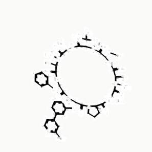 CC[C@H](C)[C@@H]1NC(=O)[C@@H]2CCCN2C(=O)[C@H](Cc2cccc(-c3ccnc(C(C)C)c3)c2)N(C)C(=O)[C@H](Cc2ccccc2)NC(=O)C(C(C)C)N(C)C(=O)[C@@H]([C@@H](C)CC)OC(=O)[C@H](C(C)(C)O)N(C)C(=O)[C@H](CC(C)C)NC(=O)C(C(C)C)N(C)C1=O